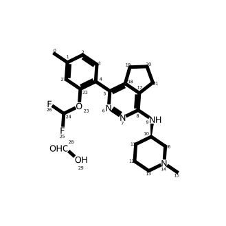 Cc1ccc(-c2nnc(N[C@@H]3CCCN(C)C3)c3c2CCC3)c(OC(F)F)c1.O=CO